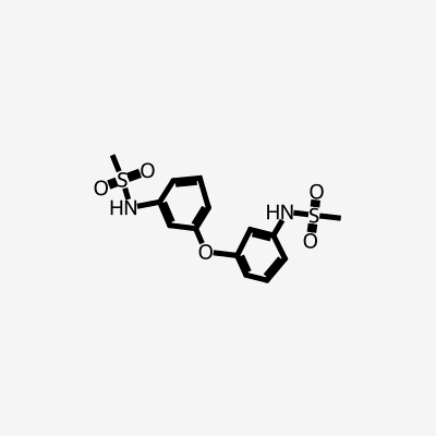 CS(=O)(=O)Nc1cccc(Oc2cccc(NS(C)(=O)=O)c2)c1